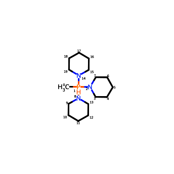 C[PH](N1CCCCC1)(N1CCCCC1)N1CCCCC1